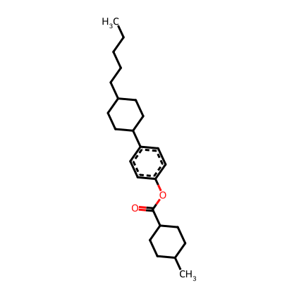 CCCCCC1CCC(c2ccc(OC(=O)C3CCC(C)CC3)cc2)CC1